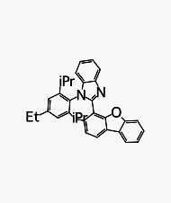 CCc1cc(C(C)C)c(-n2c(-c3c(C)ccc4c3oc3ccccc34)nc3ccccc32)c(C(C)C)c1